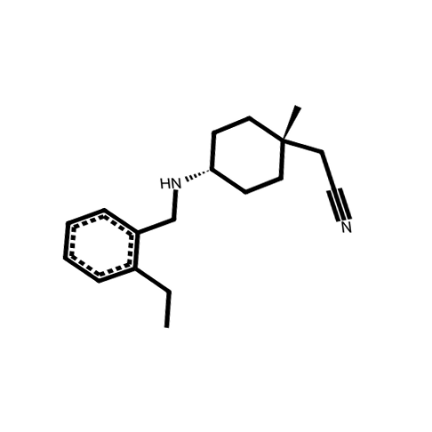 CCc1ccccc1CN[C@H]1CC[C@@](C)(CC#N)CC1